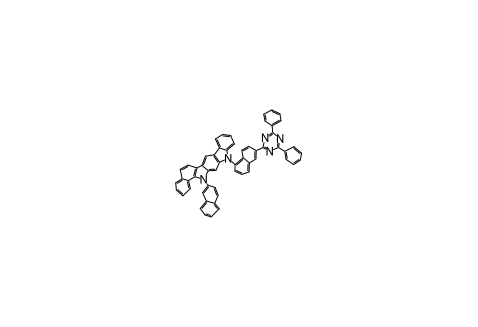 c1ccc(-c2nc(-c3ccccc3)nc(-c3ccc4c(-n5c6ccccc6c6cc7c8ccc9ccccc9c8n(-c8ccc9ccccc9c8)c7cc65)cccc4c3)n2)cc1